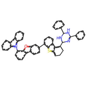 C1=c2sc3c(-c4ccc5c(c4)oc4c(-n6c7ccccc7c7ccccc76)cccc45)cccc3c2=C(C2N=C(c3ccccc3)NC(c3ccccc3)N2)CC1